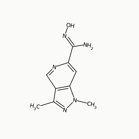 Cc1nn(C)c2cc(/C(N)=N/O)ncc12